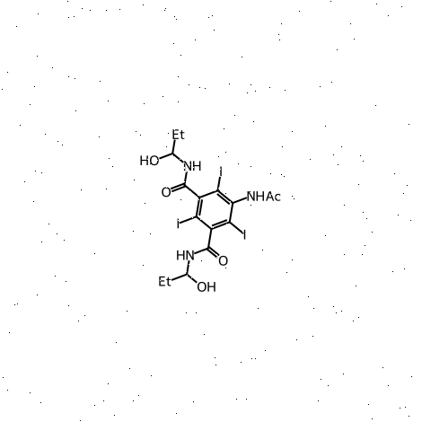 CCC(O)NC(=O)c1c(I)c(NC(C)=O)c(I)c(C(=O)NC(O)CC)c1I